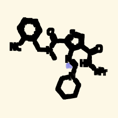 CCCNC(=O)c1csc(C(=O)N(C)Cc2ccccc2C#N)c1/N=C/N1CCCCC1